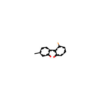 Cc1ccc2c(c1)oc1cccc(P)c12